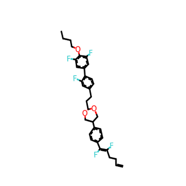 C=CCC/C(F)=C(\F)c1ccc(C2COC(CCc3ccc(-c4cc(F)c(OCCCC)c(F)c4)c(F)c3)OC2)cc1